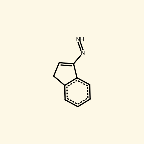 N=NC1=CCc2ccccc21